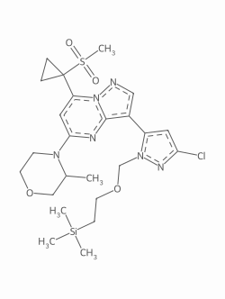 CC1COCCN1c1cc(C2(S(C)(=O)=O)CC2)n2ncc(-c3cc(Cl)nn3COCC[Si](C)(C)C)c2n1